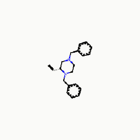 C=C[C@@H]1CN(Cc2ccccc2)CCN1Cc1ccccc1